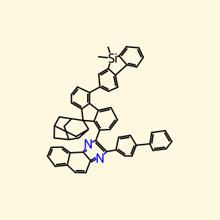 C[Si]1(C)c2ccccc2-c2ccc(-c3cccc4c3-c3cccc(-c5nc6c(ccc7ccccc76)nc5-c5ccc(-c6ccccc6)cc5)c3C43C4CC5CC(C4)CC3C5)cc21